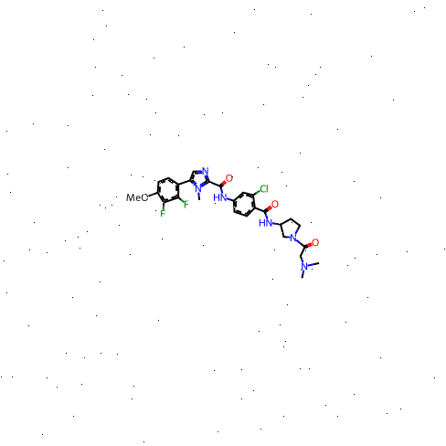 COc1ccc(-c2cnc(C(=O)Nc3ccc(C(=O)NC4CCN(C(=O)CN(C)C)C4)c(Cl)c3)n2C)c(F)c1F